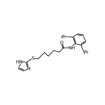 CC(C)c1cccc(C(C)C)c1NC(=O)CCCCCSc1ncc[nH]1